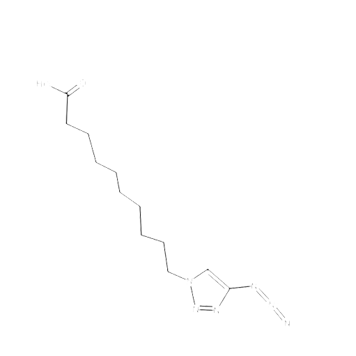 [N-]=[N+]=Nc1cn(CCCCCCCCCC(=O)O)nn1